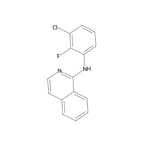 Fc1c(Cl)cccc1Nc1nccc2ccccc12